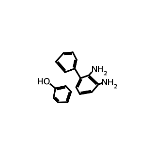 Nc1cccc(-c2ccccc2)c1N.Oc1ccccc1